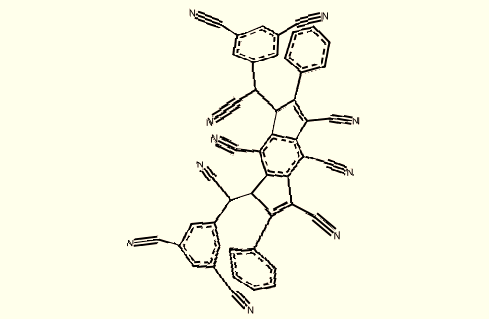 N#CC1=C(c2ccccc2)C(C(C#N)c2cc(C#N)cc(C#N)c2)c2c(C#N)c3c(c(C#N)c21)C(C#N)=C(c1ccccc1)C3C(C#N)c1cc(C#N)cc(C#N)c1